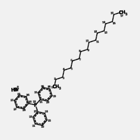 Br.CCCCCCCCCCCCCCCCC.c1ccc(P(c2ccccc2)c2ccccc2)cc1